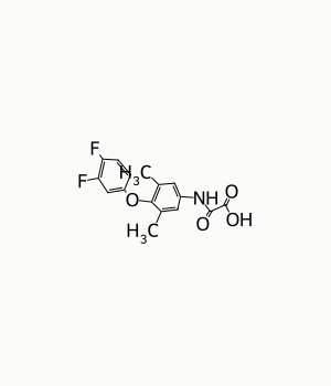 Cc1cc(NC(=O)C(=O)O)cc(C)c1Oc1ccc(F)c(F)c1